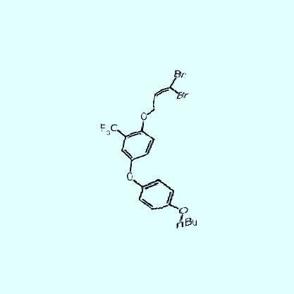 CCCCOc1ccc(Oc2ccc(OCC=C(Br)Br)c(C(F)(F)F)c2)cc1